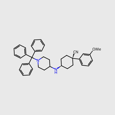 COc1cccc([C@]2(C#N)CC[C@@H](NC3CCN(C(c4ccccc4)(c4ccccc4)c4ccccc4)CC3)CC2)c1